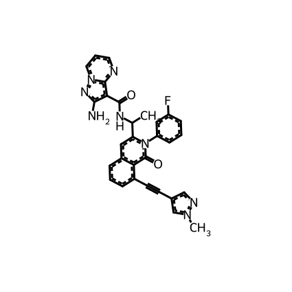 CC(NC(=O)c1c(N)nn2cccnc12)c1cc2cccc(C#Cc3cnn(C)c3)c2c(=O)n1-c1cccc(F)c1